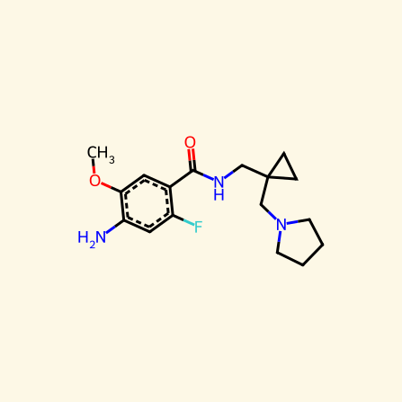 COc1cc(C(=O)NCC2(CN3CCCC3)CC2)c(F)cc1N